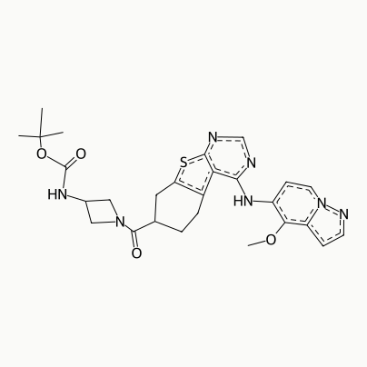 COc1c(Nc2ncnc3sc4c(c23)CCC(C(=O)N2CC(NC(=O)OC(C)(C)C)C2)C4)ccn2nccc12